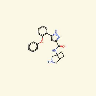 O=C(NC12CCC1CNC2)c1cc(-c2ccccc2Oc2ccccc2)[nH]n1